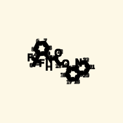 CC(F)(F)c1ccccc1NC(=O)COc1cccc2cccnc12